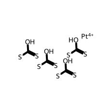 OC(=S)[S-].OC(=S)[S-].OC(=S)[S-].OC(=S)[S-].[Pt+4]